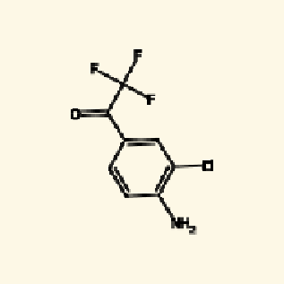 Nc1ccc(C(=O)C(F)(F)F)cc1Cl